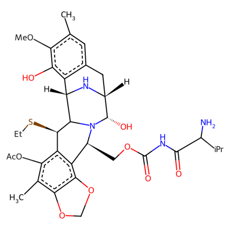 CCS[C@@H]1c2c(OC(C)=O)c(C)c3c(c2[C@H](COC(=O)NC(=O)C(N)C(C)C)N2C1[C@H]1N[C@H](Cc4cc(C)c(OC)c(O)c41)[C@@H]2O)OCO3